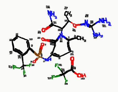 Cc1ccc(NS(=O)(=O)c2ccccc2C(F)(F)F)c(=O)n1C(C(N)=O)C(C)ON=C(N)N.O=C(O)C(F)(F)F